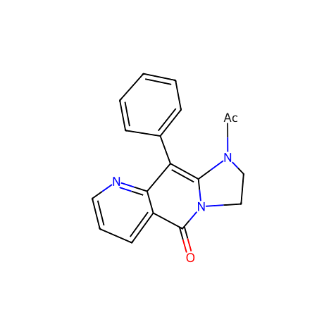 CC(=O)N1CCn2c1c(-c1ccccc1)c1ncccc1c2=O